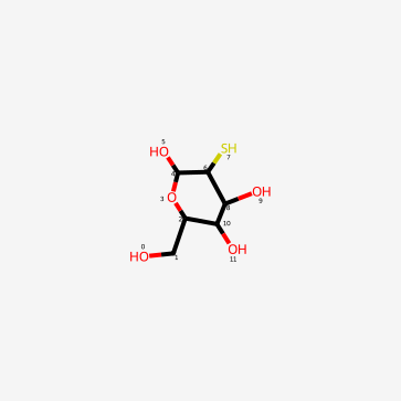 OCC1OC(O)C(S)C(O)C1O